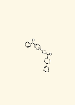 O=C(c1ccccc1)N1CCN(C2CN(C(=O)C3CCC(c4ccccc4)CC3)C2)CC1